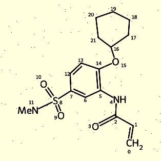 C=CC(=O)Nc1cc(S(=O)(=O)NC)ccc1OC1CCCCC1